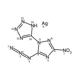 [Ag].[N-]=[N+]=Nc1nc([N+](=O)[O-])nn1-c1nnn[nH]1